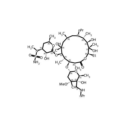 CCCNC[C@]1(O)[C@H](C)O[C@@H](O[C@H]2[C@H](C)[C@@H](O[C@@H]3O[C@H](C)C[C@H](N(C)S(N)(=O)=O)[C@H]3O)[C@](C)(O)C[C@@H](C)CN(CCC)[C@H](C)[C@@H](O)[C@](C)(O)[C@@H](CC)OC(=O)[C@@H]2C)C[C@@]1(C)OC